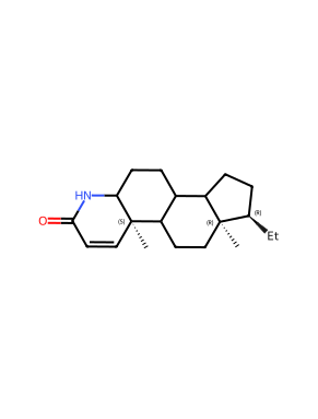 [CH2]C[C@@H]1CCC2C3CCC4NC(=O)C=C[C@]4(C)C3CC[C@@]21C